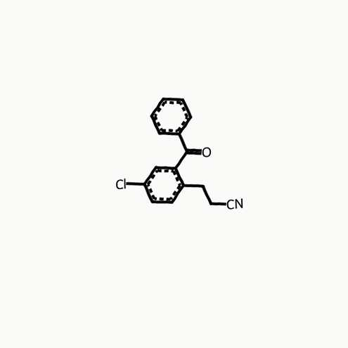 N#CCCc1ccc(Cl)cc1C(=O)c1ccccc1